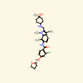 Cc1c(CNC2CCC(C)(O)CC2)n(C)c2c(C)c(NC(=O)c3ccc(OC[C@@H]4CCCO4)cc3F)ccc12